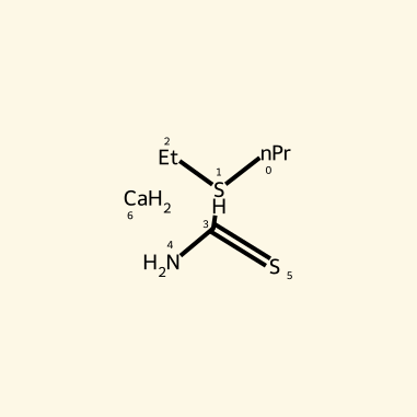 CCC[SH](CC)C(N)=S.[CaH2]